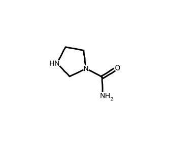 NC(=O)N1CCNC1